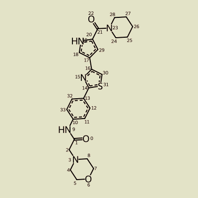 O=C(CN1CCOCC1)Nc1ccc(-c2nc(-c3c[nH]c(C(=O)N4CCCCC4)c3)cs2)cc1